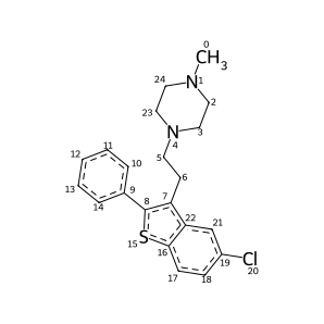 CN1CCN(CCc2c(-c3ccccc3)sc3ccc(Cl)cc23)CC1